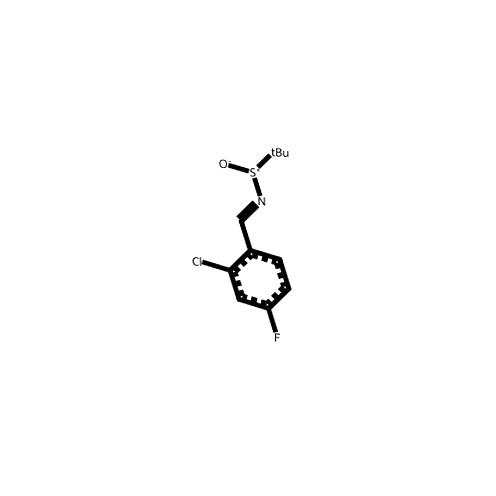 CC(C)(C)[S+]([O-])N=Cc1ccc(F)cc1Cl